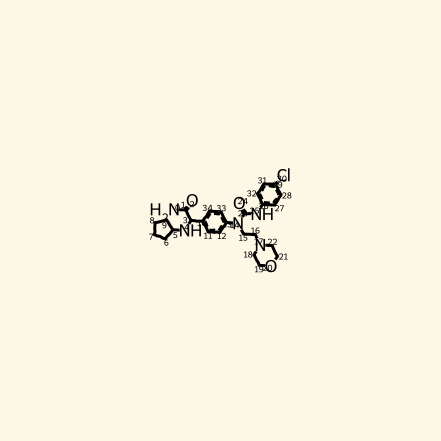 NC(=O)C(NC1CCCC1)c1ccc(N(CCN2CCOCC2)C(=O)Nc2ccc(Cl)cc2)cc1